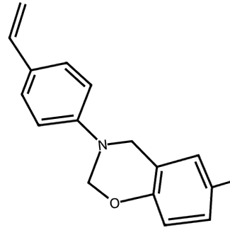 C=Cc1ccc(N2COc3ccc(C)cc3C2)cc1